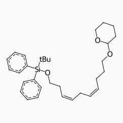 CC(C)(C)[Si](OCC/C=C\C/C=C\CCCOC1CCCCO1)(c1ccccc1)c1ccccc1